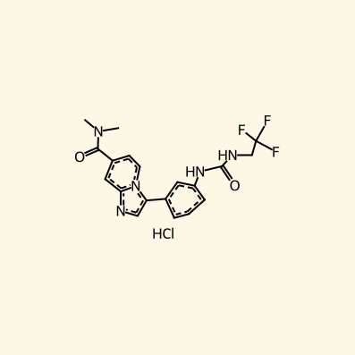 CN(C)C(=O)c1ccn2c(-c3cccc(NC(=O)NCC(F)(F)F)c3)cnc2c1.Cl